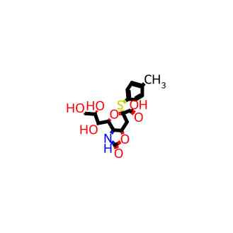 Cc1ccc(SC2(C(=O)O)CC3OC(=O)NC3C([C@H](O)[C@H](O)CO)O2)cc1